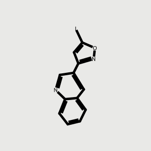 Ic1cc(-c2cnc3ccccc3c2)no1